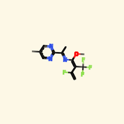 C=C(F)/C(=C(\N=C(/C)c1ncc(C)cn1)OC)C(F)(F)F